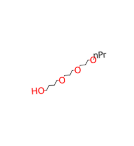 CCCOCCCOCCCOCCCCO